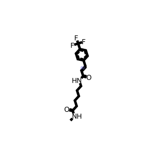 CNC(=O)CCCCCNC(=O)/C=C/c1ccc(C(F)(F)F)cc1